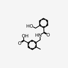 Cc1ccc(C(=O)O)cc1CNC(=O)c1ccccc1CO